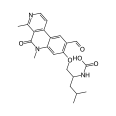 Cc1nccc2c1c(=O)n(C)c1cc(OCC(CC(C)C)NC(=O)O)c(C=O)cc21